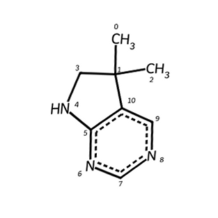 CC1(C)CNc2ncncc21